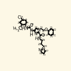 Cc1cc(Cl)ccc1NC(=O)Nc1cn(CCOc2ccccc2)c(C(=O)NCCCn2cccn2)n1